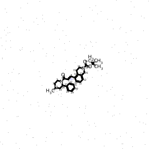 CN1CCN(C(=O)/C=C/c2cccc3c2CCN(C(=O)OC(C)(C)C)C3)C(c2ccccc2)C1